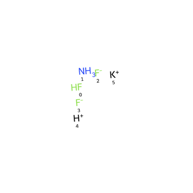 F.N.[F-].[F-].[H+].[K+]